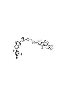 O=C1CCC(N2C(=O)c3ccc(NCCC[C@H]4C[C@H](n5cc(-c6cnc7ccc(N8C[C@@H]9C[C@H]8CN9)cc7n6)cn5)C4)cc3C2=O)C(=O)N1